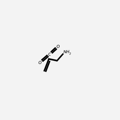 C=CCN.O=C=O